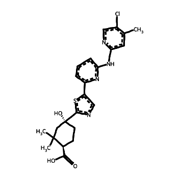 Cc1cc(Nc2cccc(-c3cnc([C@@]4(O)CC[C@@H](C(=O)O)C(C)(C)C4)s3)n2)ncc1Cl